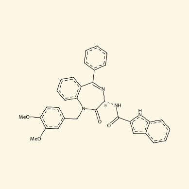 COc1ccc(CN2C(=O)[C@@H](NC(=O)c3cc4ccccc4[nH]3)N=C(c3ccccc3)c3ccccc32)cc1OC